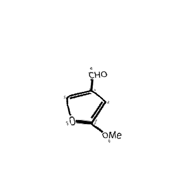 COc1cc(C=O)co1